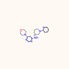 c1ccc(N2CCC[C@@H](Nc3cc(N4CCOCC4)ncn3)C2)nc1